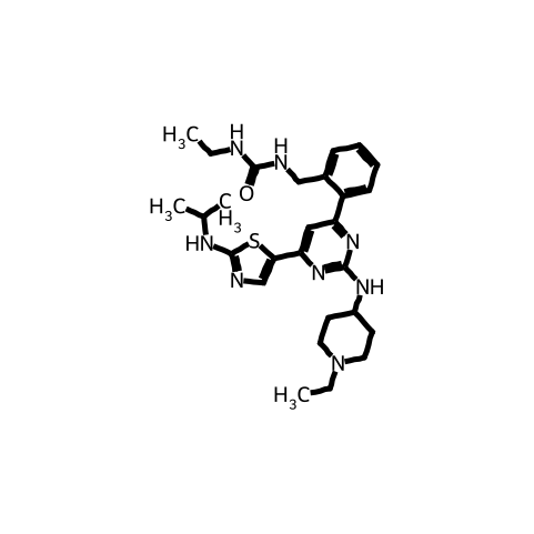 CCNC(=O)NCc1ccccc1-c1cc(-c2cnc(NC(C)C)s2)nc(NC2CCN(CC)CC2)n1